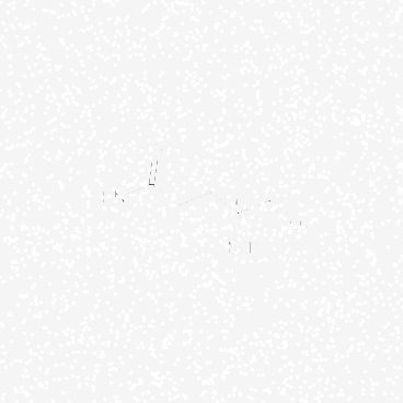 NC(=O)CC[C@@H](N)C=O